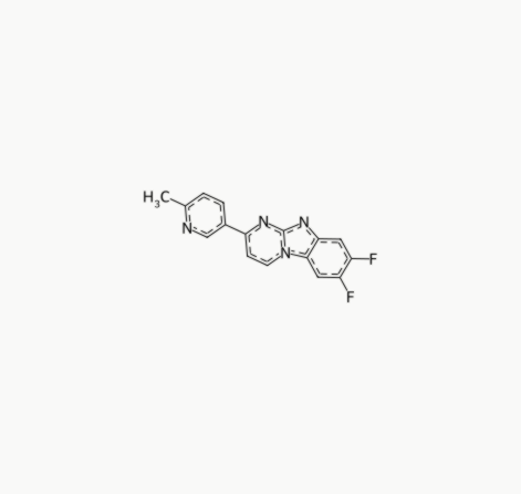 Cc1ccc(-c2ccn3c(n2)nc2cc(F)c(F)cc23)cn1